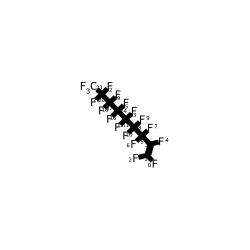 FC(F)=C(F)C(F)(F)C(F)(F)C(F)(F)C(F)(F)C(F)(F)C(F)(F)C(F)(F)F